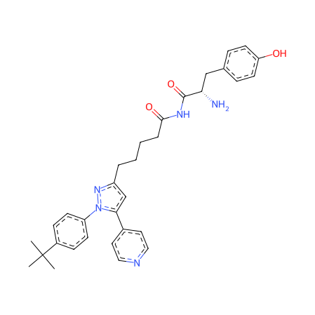 CC(C)(C)c1ccc(-n2nc(CCCCC(=O)NC(=O)[C@@H](N)Cc3ccc(O)cc3)cc2-c2ccncc2)cc1